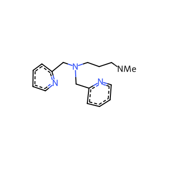 CNCCCN(Cc1ccccn1)Cc1ccccn1